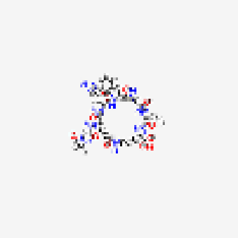 CC(=O)NCC(=O)NC1CCC(=O)NCCCC(C(=O)O)NC(=O)[C@H](C)NC(=O)CNC(=O)C(Cc2ccccc2)NC(=O)[C@H](CCCN)NC1=O